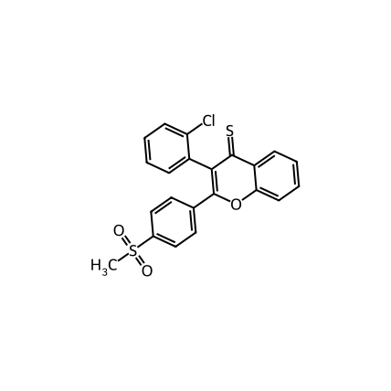 CS(=O)(=O)c1ccc(-c2oc3ccccc3c(=S)c2-c2ccccc2Cl)cc1